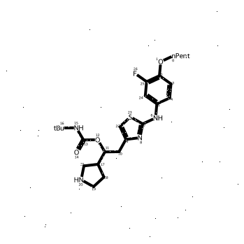 CCCCCOc1ccc(Nc2nc(CC(OC(=O)NC(C)(C)C)C3CCNC3)cs2)cc1F